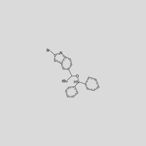 CC(C)(C)C(O[SiH](c1ccccc1)c1ccccc1)c1ccc2nc(Br)sc2c1